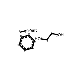 CCCCCC.OCCO.c1ccccc1